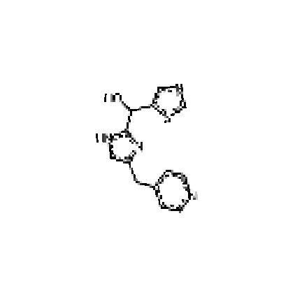 OC(c1nc(Cc2ccncc2)c[nH]1)c1cncs1